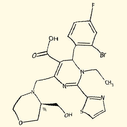 CCN1C(c2nccs2)=NC(CN2CCOC[C@@H]2CO)=C(C(=O)O)C1c1ccc(F)cc1Br